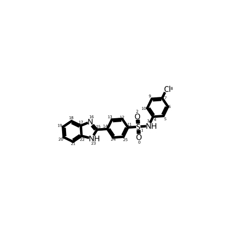 O=S(=O)(Nc1ccc(Cl)cc1)c1ccc(-c2nc3ccccc3[nH]2)cc1